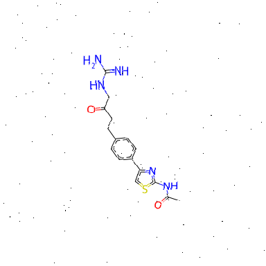 CC(=O)Nc1nc(-c2ccc(CCC(=O)CNC(=N)N)cc2)cs1